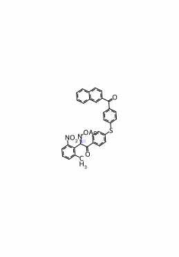 CC(=O)O/N=C(\C(=O)c1ccc(Sc2ccc(C(=O)c3ccc4ccccc4c3)cc2)cc1)c1c(C)cccc1[N+](=O)[O-]